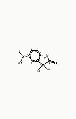 C[S+]([O-])c1ccc2c(c1)C(C)(C)C(=O)N2